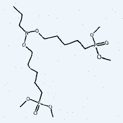 CCCN(OCCCCCP(=O)(OC)OC)OCCCCCP(=O)(OC)OC